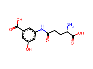 N[C@@H](CCC(=O)Nc1cc(O)cc(C(=O)O)c1)C(=O)O